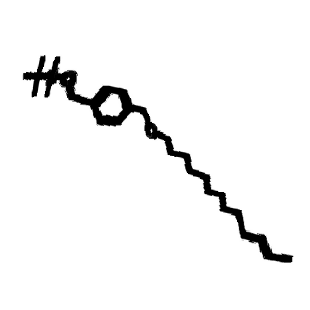 CCCCCCCCCCCCCOCc1ccc(CO[Si](C)(C)C(C)(C)C)cc1